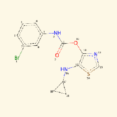 O=C(Nc1cccc(Br)c1)Oc1ncsc1NC1CC1